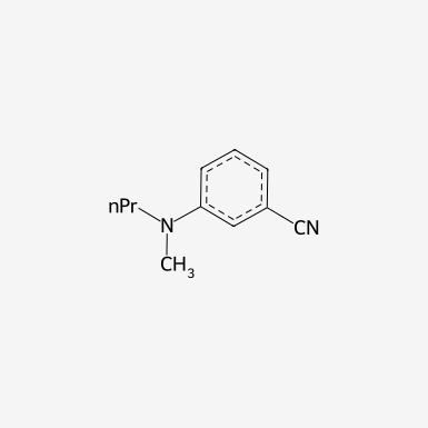 [CH2]CCN(C)c1cccc(C#N)c1